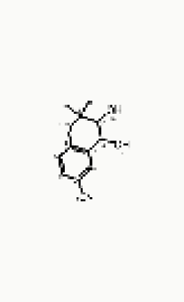 CC1(C)Oc2ccc(C#N)cc2C(O)C1O